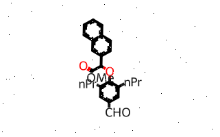 CCCc1cc(C=O)cc(CCC)c1OC(C(=O)OC)c1ccc2ccccc2c1